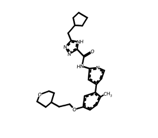 Cc1ccc(OCCC2CCOCC2)cc1-c1ccnc(NC(=O)c2nnc(CC3CCCC3)[nH]2)c1